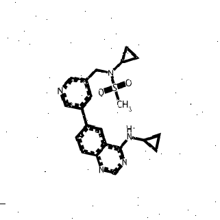 CS(=O)(=O)N(Cc1cncc(-c2ccc3ncnc(NC4CC4)c3c2)c1)C1CC1